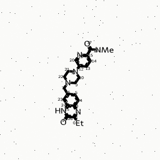 CCc1nc2ccc(CN3CCN(c4ccc(C(=O)NC)nc4)CC3)cc2[nH]c1=O